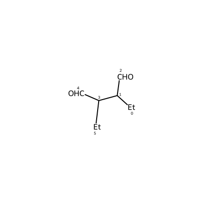 CCC(C=O)C(C=O)CC